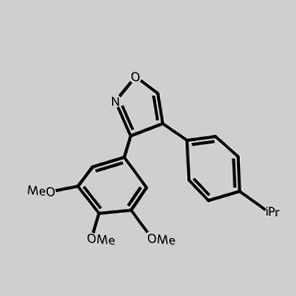 COc1cc(-c2nocc2-c2ccc(C(C)C)cc2)cc(OC)c1OC